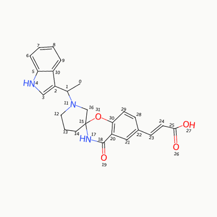 CC(c1c[nH]c2ccccc12)N1CCCC2(C1)NC(=O)c1cc(/C=C/C(=O)O)ccc1O2